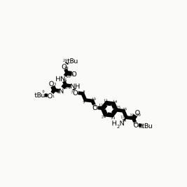 CC(C)(C)OC(=O)N=C(NOCCCOc1ccc(C[C@H](N)C(=O)OC(C)(C)C)cc1)NC(=O)OC(C)(C)C